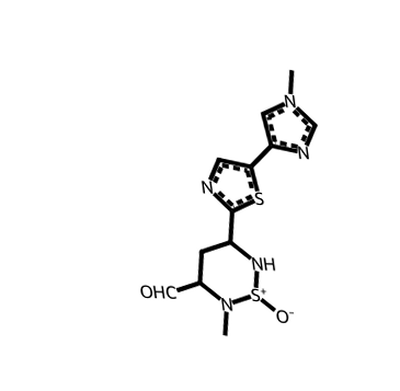 CN1C(C=O)CC(c2ncc(-c3cn(C)cn3)s2)N[S+]1[O-]